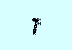 CC(=O)N1CCN(c2ccc(NC=C3C(=O)Nc4ccccc43)cc2)CC1